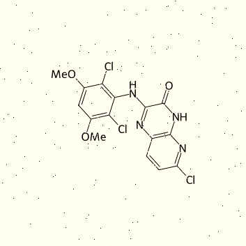 COc1cc(OC)c(Cl)c(Nc2nc3ccc(Cl)nc3[nH]c2=O)c1Cl